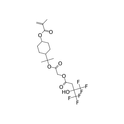 C=C(C)C(=O)OC1CCC(C(C)(C)OC(=O)COC(=O)CC(O)(C(F)(F)F)C(F)(F)F)CC1